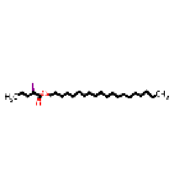 CCCCCCCCCCCCCCCCCCCCOC(=O)C(I)CCC